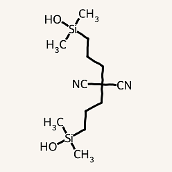 C[Si](C)(O)CCCC(C#N)(C#N)CCC[Si](C)(C)O